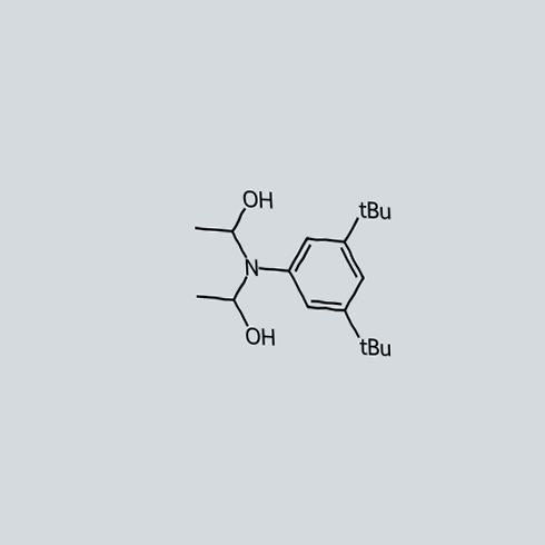 CC(O)N(c1cc(C(C)(C)C)cc(C(C)(C)C)c1)C(C)O